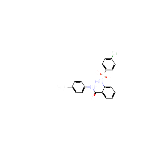 Cc1ccc(NC(=O)c2ccccc2NS(=O)(=O)c2ccc(Br)cc2)cc1